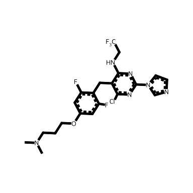 CN(C)CCCOc1cc(F)c(Cc2c(Cl)nc(-n3ccnc3)nc2NCC(F)(F)F)c(F)c1